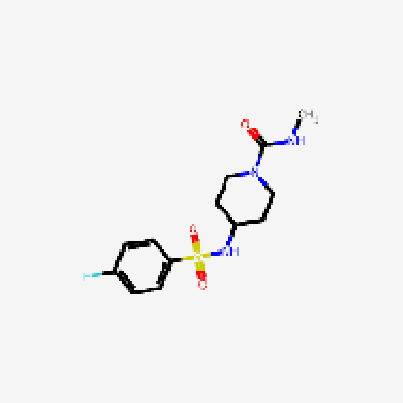 CNC(=O)N1CCC(NS(=O)(=O)c2ccc(F)cc2)CC1